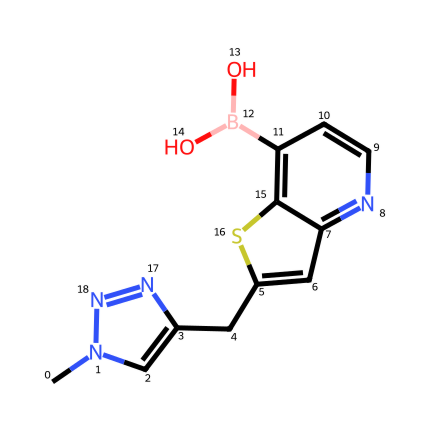 Cn1cc(Cc2cc3nccc(B(O)O)c3s2)nn1